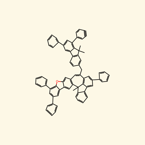 CC1(C)c2cc(CC3=Cc4cc5oc6c(-c7ccccc7)cc(-c7ccccc7)cc6c5cc4C4(C)c5ccccc5-c5cc(-c6ccccc6)cc3c54)ccc2-c2cc(-c3ccccc3)cc(-c3cc#ccc3)c21